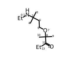 CCNC(C)(C)CCOC(C)(C)C(=O)CC